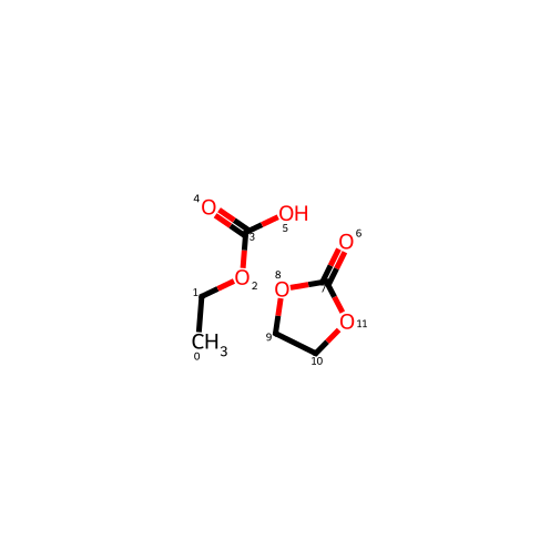 CCOC(=O)O.O=C1OCCO1